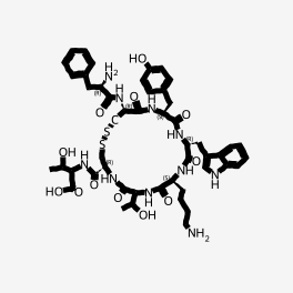 CC(O)C(NC(=O)[C@@H]1CSSC[C@H](NC(=O)[C@H](N)Cc2ccccc2)C(=O)N[C@@H](Cc2ccc(O)cc2)C(=O)N[C@H](Cc2c[nH]c3ccccc23)C(=O)N[C@@H](CCCCN)C(=O)NC(C(C)O)C(=O)N1)C(=O)O